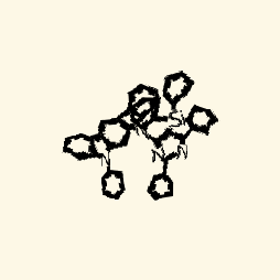 c1ccc(-c2nc3c(c(-n4c5ccccc5c5cc6c7ccccc7n(-c7ccccc7)c6cc54)n2)[Si](c2ccccc2)(c2ccccc2)c2ccccc2-3)cc1